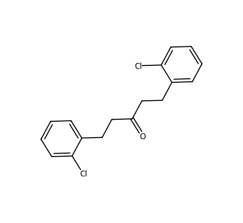 O=C(CCc1ccccc1Cl)CCc1ccccc1Cl